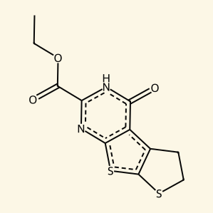 CCOC(=O)c1nc2sc3c(c2c(=O)[nH]1)CCS3